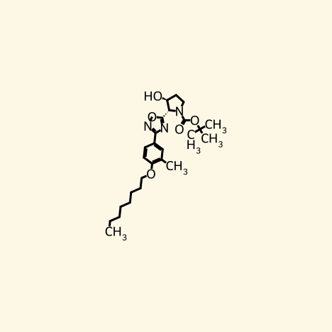 CCCCCCCCOc1ccc(-c2noc([C@@H]3[C@@H](O)CCN3C(=O)OC(C)(C)C)n2)cc1C